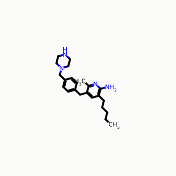 CCCCCc1cc(Cc2ccc(CN3CCNCC3)cc2)c(C)nc1N